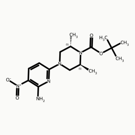 C[C@H]1CN(c2ccc([N+](=O)[O-])c(N)n2)C[C@H](C)N1C(=O)OC(C)(C)C